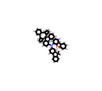 CC1(C)c2ccccc2-c2ccc(N(c3cccc4c3-c3ccccc3C43c4ccccc4-c4ccccc4-c4ccccc43)c3cccc4c3oc3ccccc34)cc21